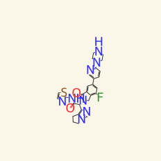 O=C(Nc1nccs1)C(c1ncn2c1CCC2)N1Cc2c(F)cc(-c3ccc(N4CCNCC4)nc3)cc2C1=O